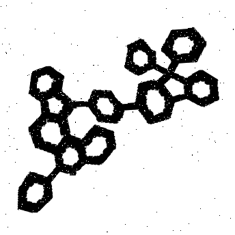 c1ccc(-c2nc3ccccc3c3c2ccc2c4ccccc4n(-c4ccc(-c5ccc6c(c5)C(c5ccccc5)(c5ccccc5)c5ccccc5-6)cc4)c23)cc1